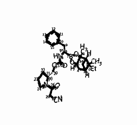 CCC1(C)[C@@H]2C[C@H]3OB([C@H](Cc4ccccc4)NC(=O)OC[C@H]4CCCN4C(=O)CC#N)O[C@@]3(C)[C@H]1C2